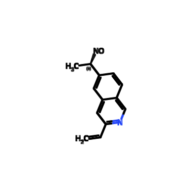 C=Cc1cc2cc([C@@H](C)N=O)ccc2cn1